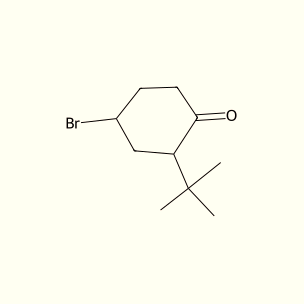 CC(C)(C)C1CC(Br)CCC1=O